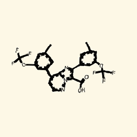 Cc1cc(OC(F)(F)F)cc(-c2nc3c(-c4cc(C)cc(OC(F)(F)F)c4)ccnn3c2C(=O)O)c1